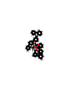 c1ccc(-c2ccc(-n3c4ccc(-n5c6ccccc6c6ccccc65)cc4c4ccc5c6ccccc6n(-c6nc(-c7ccccc7)nc(-c7cccc8c7sc7ccccc78)n6)c5c43)cc2)cc1